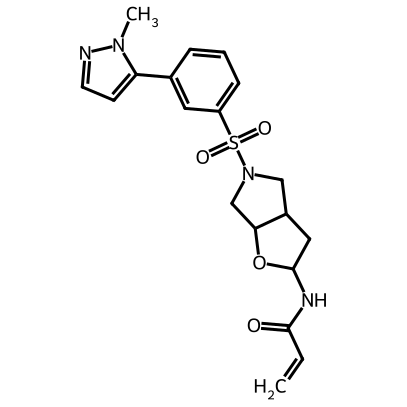 C=CC(=O)NC1CC2CN(S(=O)(=O)c3cccc(-c4ccnn4C)c3)CC2O1